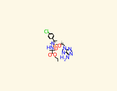 CCCOC(=O)C(C)(C)NP(=O)(CO[C@H](C)Cn1cnc2c(N)ncnc21)N(C)[C@H](C)c1ccc(Cl)cc1